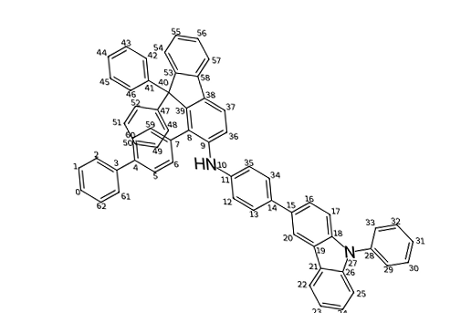 c1ccc(-c2ccc(-c3c(Nc4ccc(-c5ccc6c(c5)c5ccccc5n6-c5ccccc5)cc4)ccc4c3C(c3ccccc3)(c3ccccc3)c3ccccc3-4)cc2)cc1